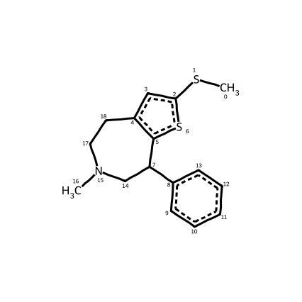 CSc1cc2c(s1)C(c1ccccc1)CN(C)CC2